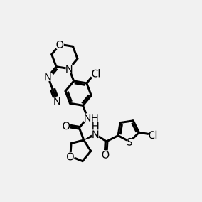 N#C/N=C1/COCCN1c1ccc(NC(=O)[C@]2(NC(=O)c3ccc(Cl)s3)CCOC2)cc1Cl